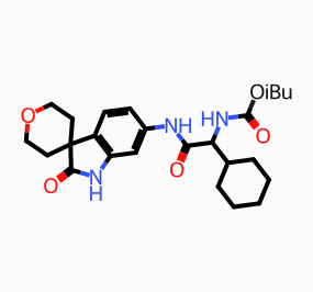 CC(C)COC(=O)NC(C(=O)Nc1ccc2c(c1)NC(=O)C21CCOCC1)C1CCCCC1